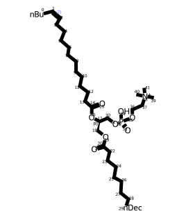 CCCC/C=C\CCCCCCCCCCCC(=O)O[C@H](COC(=O)CCCCCCCCCCCCCCCCC)COP(=O)(O)OCC[N+](C)(C)C